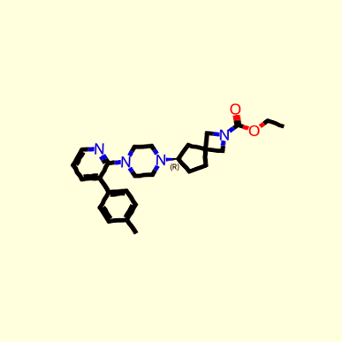 CCOC(=O)N1CC2(CC[C@@H](N3CCN(c4ncccc4-c4ccc(C)cc4)CC3)C2)C1